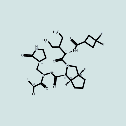 CCC(CC)[C@H](NC(=O)C1CC(F)(F)C1)C(=O)N1C[C@@H]2CCC[C@@H]2[C@H]1C(=O)NN(C[C@@H]1CCNC1=O)C(=O)[C@H](F)Cl